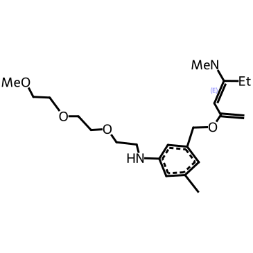 C=C(/C=C(\CC)NC)OCc1cc(C)cc(NCCOCCOCCOC)c1